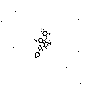 COc1ccc2c(c1)c(C(=O)c1ncc(-c3ccncc3)o1)c(C(F)(F)F)n2Cc1ccc(Cl)cc1Cl